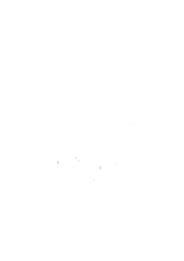 Nc1onc(-c2ccc(-c3cccc(Cl)c3)o2)c1C(=O)NC1CCCc2ccccc21